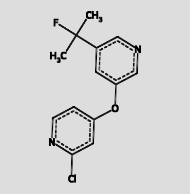 CC(C)(F)c1cncc(Oc2ccnc(Cl)c2)c1